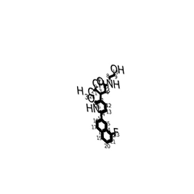 CC(C)C(CC(=O)NCCO)c1ccc(-c2ccc3cccc(F)c3c2)[nH]c1=O